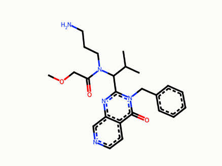 COCC(=O)N(CCCN)C(c1nc2cnccc2c(=O)n1Cc1ccccc1)C(C)C